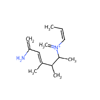 C=C(N)/C=C(\C)C(C)C(C)[N+](=C)/C=C\C